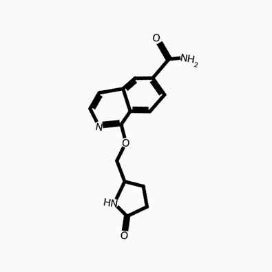 NC(=O)c1ccc2c(OCC3CCC(=O)N3)nccc2c1